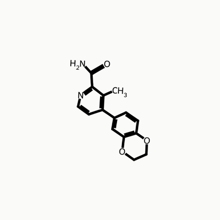 Cc1c(-c2ccc3c(c2)OCCO3)ccnc1C(N)=O